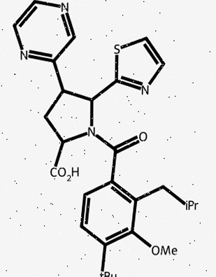 COc1c(C(C)(C)C)ccc(C(=O)N2C(C(=O)O)CC(c3cnccn3)C2c2nccs2)c1CC(C)C